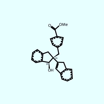 COC(=O)c1ccc(C[C@]2(C3=Cc4ccccc4C3)Cc3ccccc3[C@@H]2O)cc1